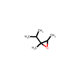 CC(C)C1(C)OC1C